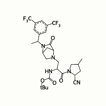 CC1CC(C#N)N(C(=O)C(CN2CC3CC2C(=O)N3C(C)c2cc(C(F)(F)F)cc(C(F)(F)F)c2)NC(=O)OC(C)(C)C)C1